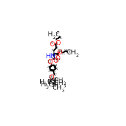 C=CCOC(=O)CC[C@H](NC(=O)Oc1ccc(CO[Si](C)(C)C(C)(C)C)cc1)C(=O)OCC=C